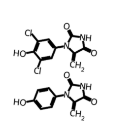 C=C1C(=O)NC(=O)N1c1cc(Cl)c(O)c(Cl)c1.C=C1C(=O)NC(=O)N1c1ccc(O)cc1